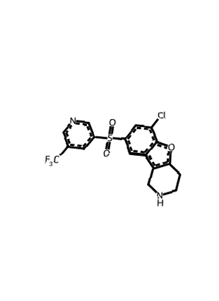 O=S(=O)(c1cncc(C(F)(F)F)c1)c1cc(Cl)c2oc3c(c2c1)CNCC3